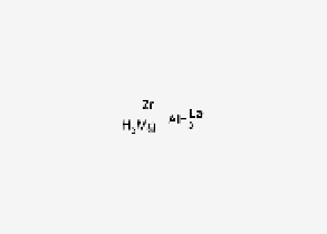 [AlH3].[La].[MgH2].[Zr]